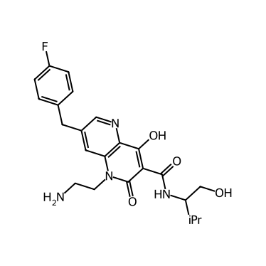 CC(C)C(CO)NC(=O)c1c(O)c2ncc(Cc3ccc(F)cc3)cc2n(CCN)c1=O